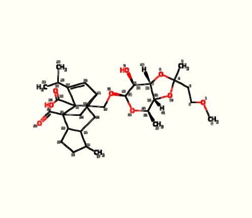 COCCC1(C)O[C@H]2[C@H](O)[C@H](OCC34CC5C(C)CCC5C5(C=O)CC3C=C(C(C)C)C54C(=O)O)O[C@H](C)[C@H]2O1